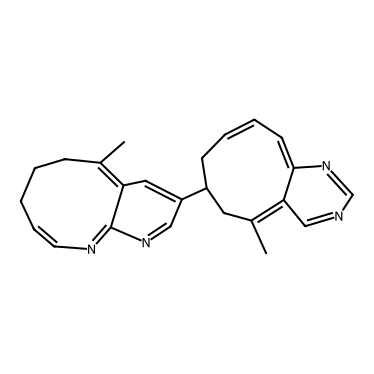 C\C1=c2/cncn/c2=C/C=C\CC(c2cnc3/c(c2)=C(/C)CCC/C=C\N=3)C1